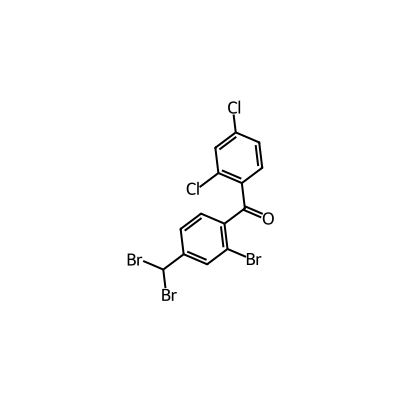 O=C(c1ccc(Cl)cc1Cl)c1ccc(C(Br)Br)cc1Br